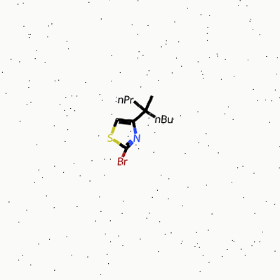 CCCCC(C)(CCC)c1csc(Br)n1